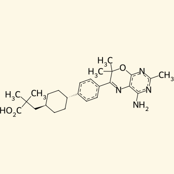 Cc1nc(N)c2c(n1)OC(C)(C)C(c1ccc([C@H]3CC[C@H](CC(C)(C)C(=O)O)CC3)cc1)=N2